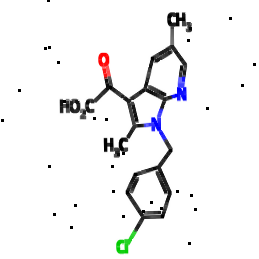 Cc1cnc2c(c1)c(C(=O)C(=O)O)c(C)n2Cc1ccc(Cl)cc1